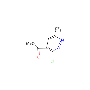 COC(=O)c1cc(C(F)(F)F)nnc1Cl